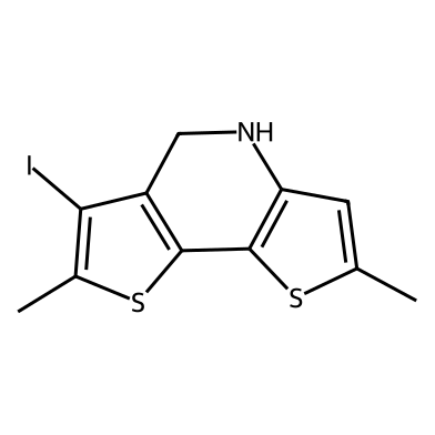 Cc1cc2c(s1)-c1sc(C)c(I)c1CN2